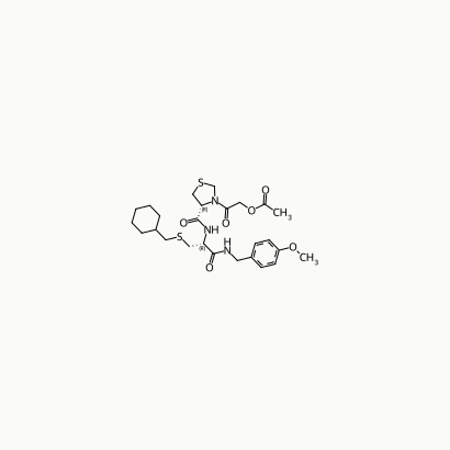 COc1ccc(CNC(=O)[C@H](CSCC2CCCCC2)NC(=O)[C@@H]2CSCN2C(=O)COC(C)=O)cc1